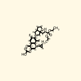 CCOP(=O)(NCC12CN(c3c(F)cc4c(=O)c(OC(=O)O)cn(C5CC5)c4c3F)CC1CCO2)OCC